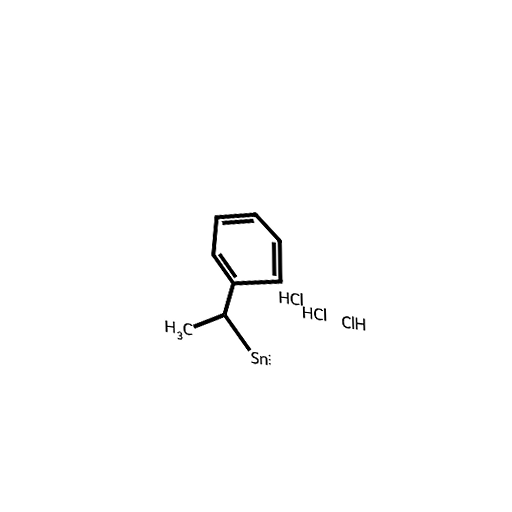 C[CH]([Sn])c1ccccc1.Cl.Cl.Cl